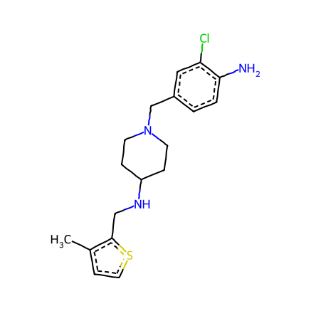 Cc1ccsc1CNC1CCN(Cc2ccc(N)c(Cl)c2)CC1